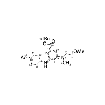 COCCN(C)c1cc(NC2CCN(C(C)=O)CC2)cc(C(=O)OC(C)(C)C)c1